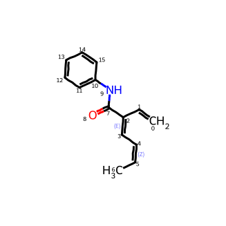 C=C/C(=C\C=C/C)C(=O)Nc1ccccc1